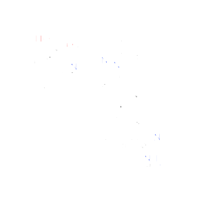 CC(C)n1nc(C(=O)Nc2ccccc2C(=O)O)c2cc(-c3cccc(C(=N)N)c3)ccc21